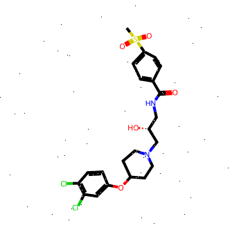 CS(=O)(=O)c1ccc(C(=O)NC[C@@H](O)CN2CCC(Oc3ccc(Cl)c(Cl)c3)CC2)cc1